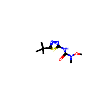 CON(C)C(=O)Nc1nnc(C(C)(C)C)s1